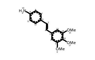 COc1cc(C=Cc2ccc(N)cc2)cc(OC)c1OC